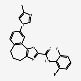 Cc1cn(-c2ccc3c(c2)-c2sc(C(=O)Nc4c(F)cccc4F)nc2CCC3)cn1